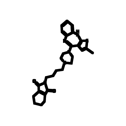 Cc1cc2c(s1)Nc1ccccc1N=C2N1CCN(CCCCN2C(=O)C3=C(CCCC3)C2=O)CC1